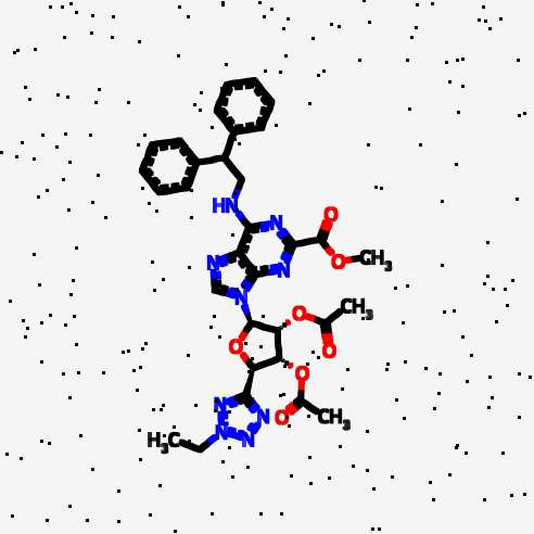 CCn1nnc([C@H]2O[C@@H](n3cnc4c(NCC(c5ccccc5)c5ccccc5)nc(C(=O)OC)nc43)[C@H](OC(C)=O)[C@@H]2OC(C)=O)n1